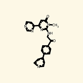 Cn1c(NCC(=O)c2ccc(-c3ccncc3)cc2)nc(-c2ccncn2)cc1=O